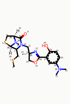 CSCC1[C@H]2SC[C@@H](C(=O)N1C[C@]1(C)COC(c3cc(N(C)C)ccc3O)=N1)N2C